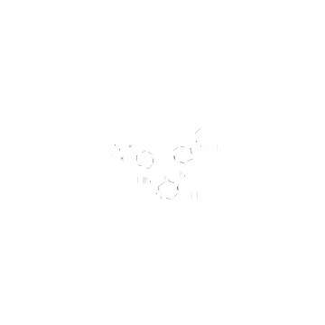 Cc1cnc(Nc2cccc(S(N)(=O)=O)c2)nc1Nc1ccc2c(c1)N(C)C(=O)CO2